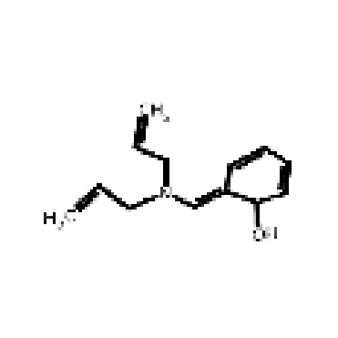 C=CCN(C=C1C=CC=CC1O)CC=C